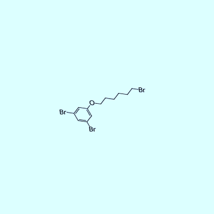 BrCCCCCCOc1cc(Br)cc(Br)c1